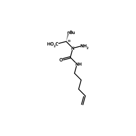 C=CCCCNC(=O)N(N)[C@@H](CCCC)C(=O)O